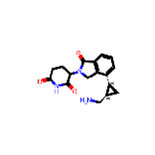 NC[C@@H]1C[C@H]1c1cccc2c1CN(C1CCC(=O)NC1=O)C2=O